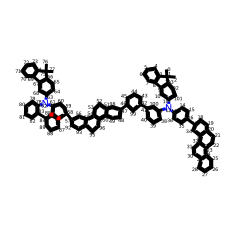 CC1(C)c2ccccc2-c2cc(N(c3ccc(-c4ccc5ccc6c7ccccc7ccc6c5c4)cc3)c3cccc(-c4cccc(-c5ccc6c(ccc7c8cc(-c9ccc(N(c%10ccc%11c(c%10)-c%10ccccc%10C%11(C)C)c%10ccccc%10-c%10ccccc%10)cc9)ccc8ccc67)c5)c4)c3)ccc21